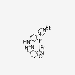 CCN1CCN(c2ccc(Nc3ncc4c(n3)-c3c(C(C)C)noc3CC4)cc2F)CC1